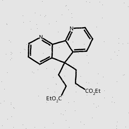 CCOC(=O)CCC1(CCC(=O)OCC)c2cccnc2-c2ncccc21